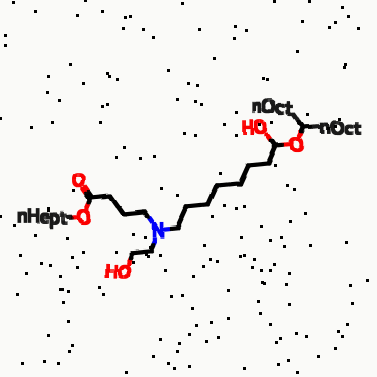 CCCCCCCCC(CCCCCCCC)OC(O)CCCCCCCN(CCO)CCCC(=O)OCCCCCCC